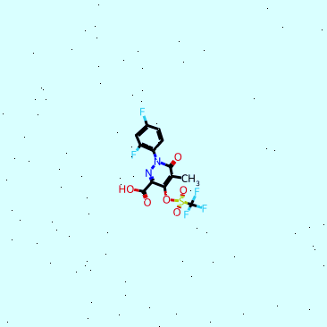 Cc1c(OS(=O)(=O)C(F)(F)F)c(C(=O)O)nn(-c2ccc(F)cc2F)c1=O